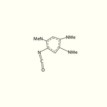 CNc1cc(NC)c(NC)cc1N=C=O